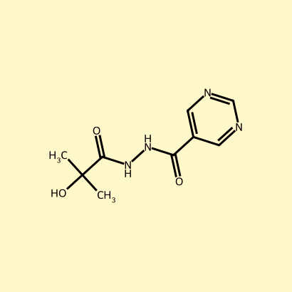 CC(C)(O)C(=O)NNC(=O)c1cncnc1